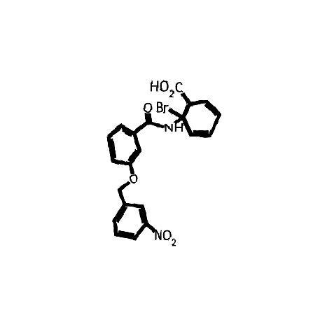 O=C(NC1(Br)C=CC=CC1C(=O)O)c1cccc(OCc2cccc([N+](=O)[O-])c2)c1